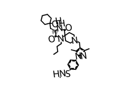 CCCCN1C(=O)[C@@H](CC2(O)CCCCC2)NC(=O)C12CCN(Cc1c(C)nn(-c3ccc(SNC)cc3)c1C)CC2